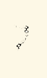 COc1ncccc1C1=CCC(N2CC(NC(=O)CNC(=O)c3cccc(C(F)(F)F)c3)C2)CC1